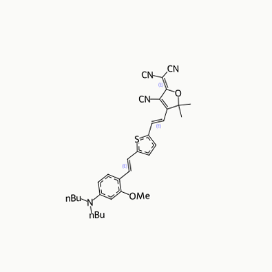 [C-]#[N+]C1=C(/C=C/c2ccc(/C=C/c3ccc(N(CCCC)CCCC)cc3OC)s2)C(C)(C)O/C1=C(\C#N)[N+]#[C-]